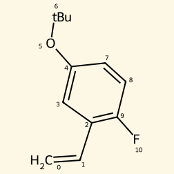 C=Cc1cc(OC(C)(C)C)ccc1F